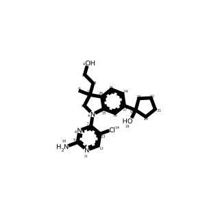 CC1(CCO)CN(c2nc(N)ncc2Cl)c2cc(C3(O)CCCC3)ccc21